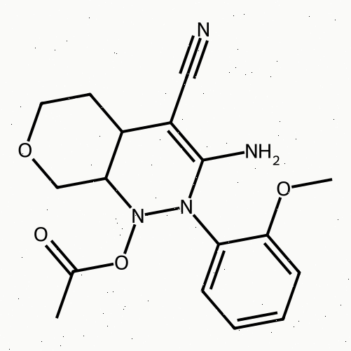 COc1ccccc1N1C(N)=C(C#N)C2CCOCC2N1OC(C)=O